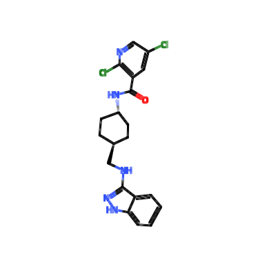 O=C(N[C@H]1CC[C@H](CNc2n[nH]c3ccccc23)CC1)c1cc(Cl)cnc1Cl